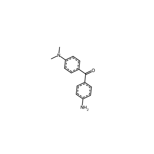 CN(C)c1ccc(C(=O)c2ccc(N)cc2)cc1